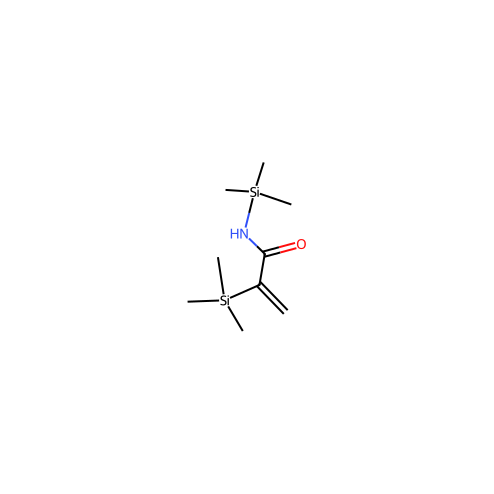 C=C(C(=O)N[Si](C)(C)C)[Si](C)(C)C